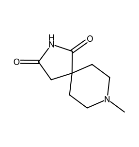 CN1CCC2(CC1)CC(=O)NC2=O